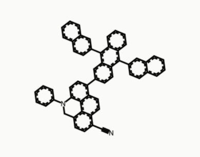 N#Cc1ccc2c3c1ccc1c(-c4ccc5c(-c6ccc7ccccc7c6)c6ccccc6c(-c6ccc7ccccc7c6)c5c4)ccc(c13)N(c1ccccc1)C2